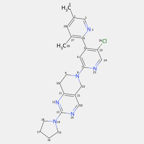 Cc1cnc(-c2cc(N3CCc4nc(N5CCCC5)ncc4C3)ncc2Cl)c(C)c1